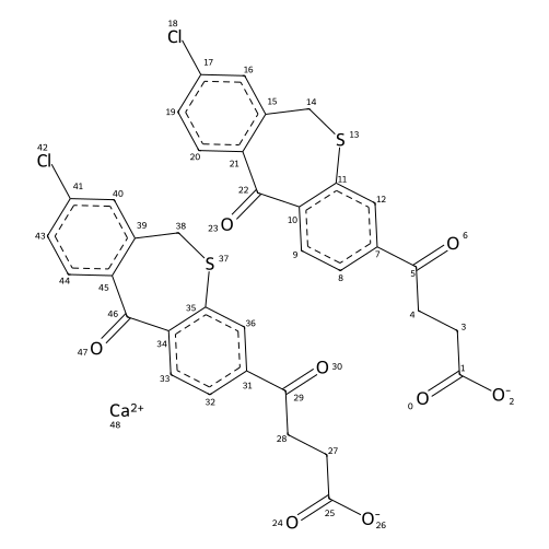 O=C([O-])CCC(=O)c1ccc2c(c1)SCc1cc(Cl)ccc1C2=O.O=C([O-])CCC(=O)c1ccc2c(c1)SCc1cc(Cl)ccc1C2=O.[Ca+2]